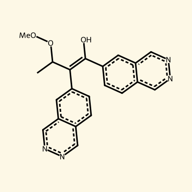 COOC(C)/C(=C(\O)c1ccc2cnncc2c1)c1ccc2cnncc2c1